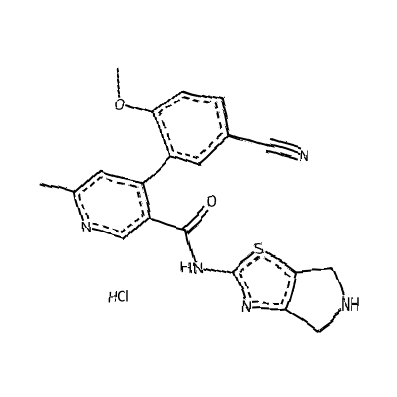 COc1ccc(C#N)cc1-c1cc(C)ncc1C(=O)Nc1nc2c(s1)CNC2.Cl